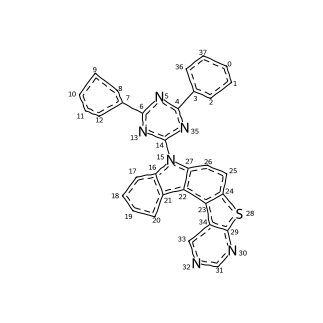 c1ccc(-c2nc(-c3ccccc3)nc(-n3c4ccccc4c4c5c(ccc43)sc3ncncc35)n2)cc1